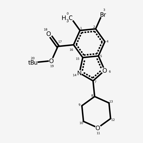 Cc1c(Br)cc2oc(C3CCOCC3)nc2c1C(=O)OC(C)(C)C